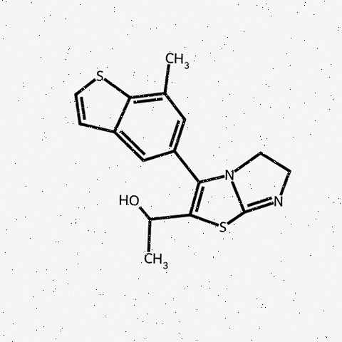 Cc1cc(C2=C(C(C)O)SC3=NCCN32)cc2ccsc12